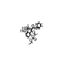 CCOC(=O)OC(C)OC1=C(C(=O)Nc2ccccn2)N(C)S(O)(O)c2ccccc21